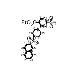 CCOC(=O)c1cnc(S(C)(=O)=O)nc1N1CCN(S(=O)(=O)c2ccc3ccccc3c2)CC1